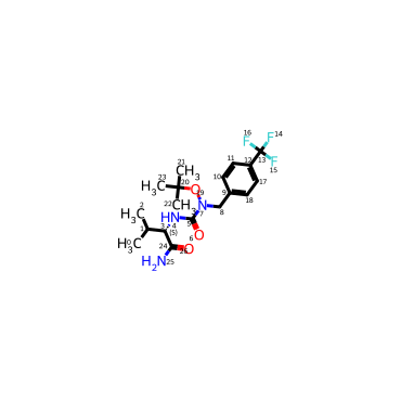 CC(C)[C@H](NC(=O)N(Cc1ccc(C(F)(F)F)cc1)OC(C)(C)C)C(N)=O